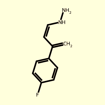 C=C(/C=C\NN)c1ccc(F)cc1